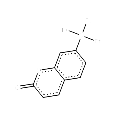 CC[Si](CC)(CC)c1ccc2ccc(=O)oc2c1